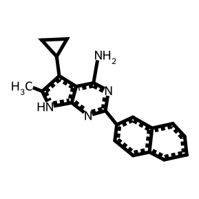 Cc1[nH]c2nc(-c3ccc4ccccc4c3)nc(N)c2c1C1CC1